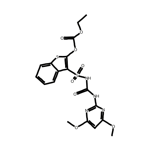 CCOC(=O)Oc1sc2ccccc2c1S(=O)(=O)NC(=O)Nc1nc(OC)cc(OC)n1